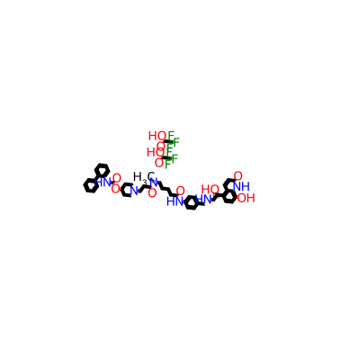 CN(CCCCC(=O)Nc1ccc(CNC[C@H](O)c2ccc(O)c3[nH]c(=O)ccc23)cc1)C(=O)CCN1CCC(OC(=O)Nc2ccccc2-c2ccccc2)CC1.O=C(O)C(F)(F)F.O=C(O)C(F)(F)F